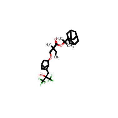 CCC(C)(COC1CC2CC(CC(O)(C(F)(F)F)C(F)(F)F)C1C2)C(=O)OC(C)(C)C12CC3CC(CC(C3)C1)C2